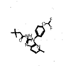 Cc1ccc2nc(NC(=O)CC(C)(C)C)n(-c3ccc(OC(F)F)cc3)c2n1